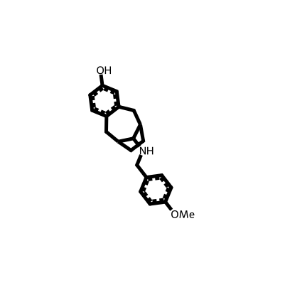 COc1ccc(CNC2C3CCC2Cc2cc(O)ccc2C3)cc1